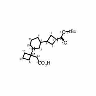 CC(C)(C)OC(=O)N1CC(C2CCCN(C3(CC(=O)O)CCC3)C2)C1